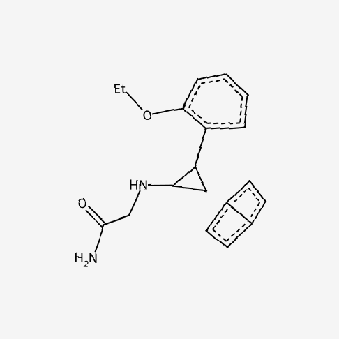 CCOc1ccccc1C1CC1NCC(N)=O.c1cc2ccc1-2